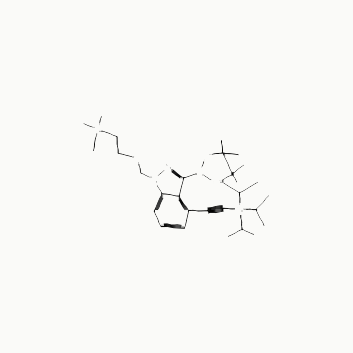 CC(C)[Si](C#Cc1cccc2c1c(B1OC(C)(C)C(C)(C)O1)nn2COCC[Si](C)(C)C)(C(C)C)C(C)C